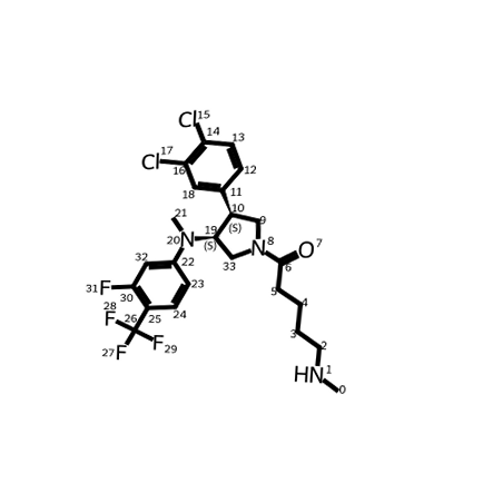 CNCCCCC(=O)N1C[C@H](c2ccc(Cl)c(Cl)c2)[C@H](N(C)c2ccc(C(F)(F)F)c(F)c2)C1